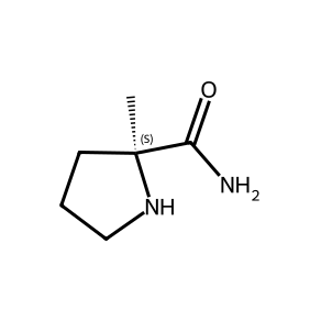 C[C@@]1(C(N)=O)CCCN1